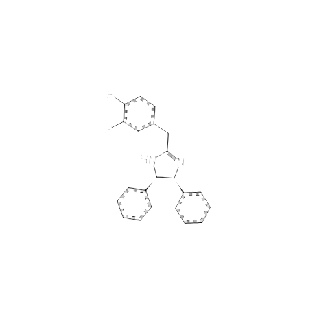 Fc1ccc(CC2=N[C@@H](c3ccccc3)[C@@H](c3ccccc3)N2)cc1F